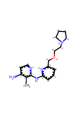 Cc1c(N)ccnc1Nc1cccc(COCCN2CCCC2)n1